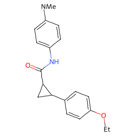 CCOc1ccc(C2CC2C(=O)Nc2ccc(NC)cc2)cc1